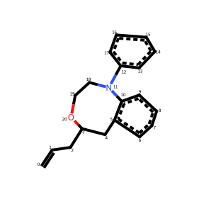 C=CCC1Cc2ccccc2N(c2ccccc2)CCO1